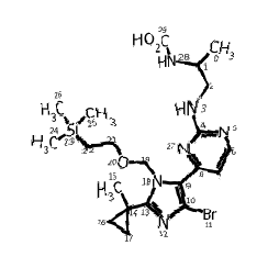 CC(CNc1nccc(-c2c(Br)nc(C3(C)CC3)n2COCC[Si](C)(C)C)n1)NC(=O)O